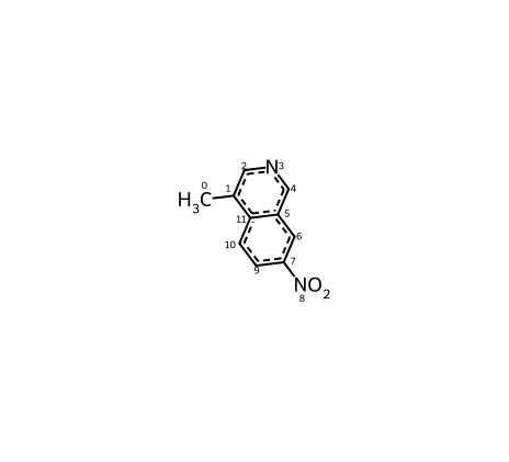 Cc1cncc2cc([N+](=O)[O-])ccc12